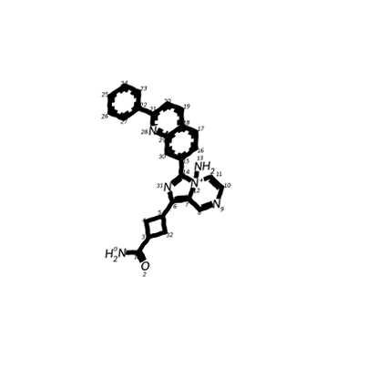 NC(=O)C1CC(C2=C3C=NC=C[N+]3(N)C(c3ccc4ccc(-c5ccccc5)nc4c3)=N2)C1